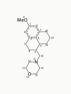 COc1cc2c3c(c1)CCC(CN1CCOCC1)C3CCC2